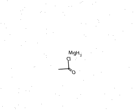 CC(=O)Cl.[MgH2]